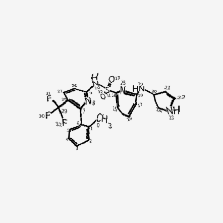 Cc1ccccc1-c1nc(NS(=O)(=O)c2cccc(NC3CCNC3)n2)ccc1C(F)(F)F